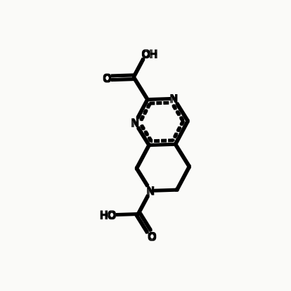 O=C(O)c1ncc2c(n1)CN(C(=O)O)CC2